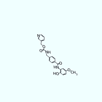 COc1ccc(O)c(NC(=O)c2ccc(CNC(=O)OCc3cccnc3)cc2)c1